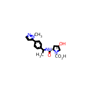 CC(NC(=O)[C@@H]1C[C@@H](O)CN1C(=O)O)c1ccc(-c2ccnn2C)cc1